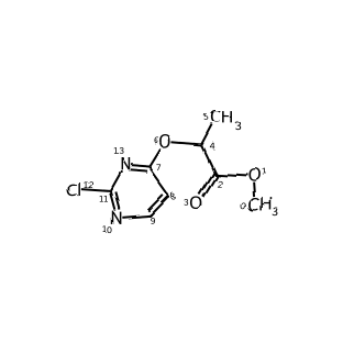 COC(=O)C(C)Oc1ccnc(Cl)n1